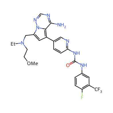 CCN(CCOC)Cc1cc(-c2ccc(NC(=O)Nc3ccc(F)c(C(F)(F)F)c3)nc2)c2c(N)ncnn12